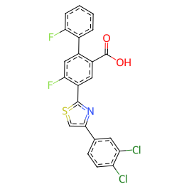 O=C(O)c1cc(-c2nc(-c3ccc(Cl)c(Cl)c3)cs2)c(F)cc1-c1ccccc1F